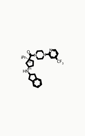 CC(C)[C@]1(C(=O)N2CCN(c3cc(C(F)(F)F)ccn3)CC2)CC[C@@H](NC2Cc3ccccc3C2)C1